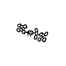 c1ccc(C2(c3ccccc3)c3ccccc3-c3ccc(-c4c5ccccc5c(-c5ccc(-c6ccc7c(c6)C6(c8ccccc8-c8ccccc86)c6ccccc6-7)nc5)c5ccccc45)cc32)cc1